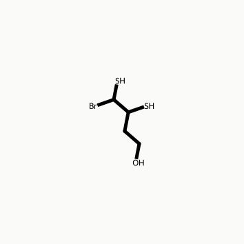 OCCC(S)C(S)Br